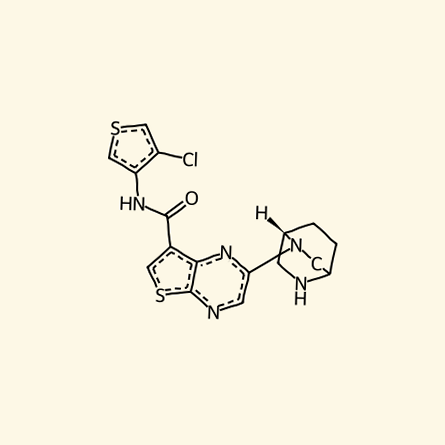 O=C(Nc1cscc1Cl)c1csc2ncc(N3CC4CC[C@H]3CN4)nc12